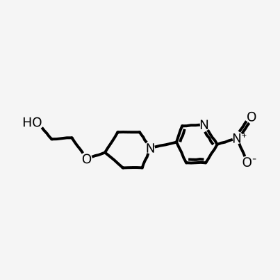 O=[N+]([O-])c1ccc(N2CCC(OCCO)CC2)cn1